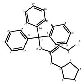 [Li][CH2]C=C(CC1CCCC1)OC(c1ccccc1)(c1ccccc1)c1ccccc1